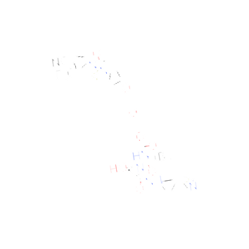 Cc1ncsc1-c1ccc(CNC(=O)[C@@H]2C[C@@H](O)CN2C(=O)C(NC(=O)COCCCOCCCOc2ccc(N3C(=S)N(c4ccc(C#N)c(C(F)(F)F)c4)C(=O)C3(C)C)cc2)C(C)(C)C)cc1